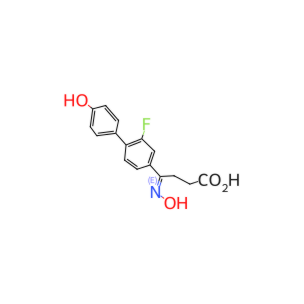 O=C(O)CC/C(=N\O)c1ccc(-c2ccc(O)cc2)c(F)c1